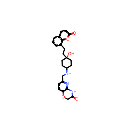 O=C1COc2ccc(CNC3CCC(O)(CCc4cccc5ccc(=O)oc45)CC3)nc2N1